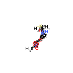 CCCC(=O)N(C=O)OC(=O)CCCOc1ccc2c(c1)CCC/C2=N\NC(=O)CC(C)(C)S